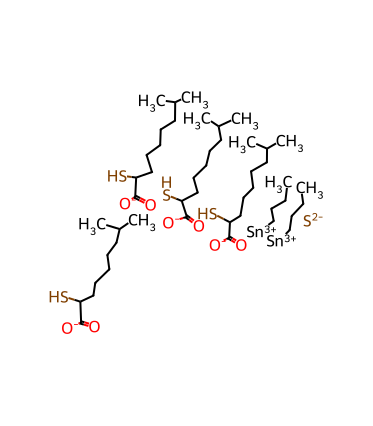 CC(C)CCCCCC(S)C(=O)[O-].CC(C)CCCCCC(S)C(=O)[O-].CC(C)CCCCCC(S)C(=O)[O-].CC(C)CCCCCC(S)C(=O)[O-].CCC[CH2][Sn+3].CCC[CH2][Sn+3].[S-2]